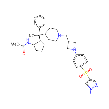 COC(=O)NC1CCC[C@@H]1C(C#N)(c1ccccc1)C1CCN(CC2CN(c3ccc(S(=O)(=O)c4cn[nH]c4)cc3)C2)CC1